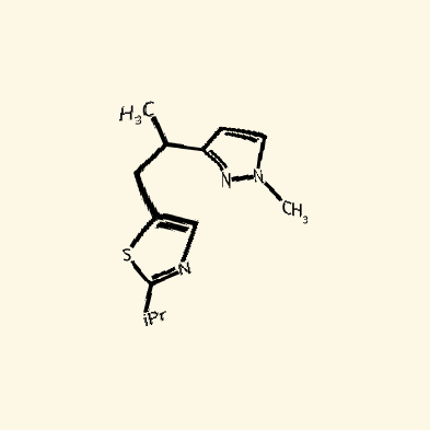 CC(C)c1ncc(CC(C)c2ccn(C)n2)s1